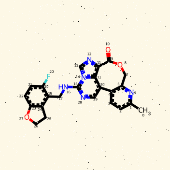 Cc1ccc2c(n1)COC(=O)c1ncn3c(NCc4c(F)ccc5c4CCO5)ncc-2c13